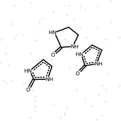 O=C1NCCN1.O=c1[nH]cc[nH]1.O=c1[nH]cc[nH]1